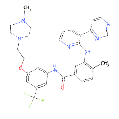 Cc1ccc(C(=O)Nc2cc(OCCN3CCN(C)CC3)cc(C(F)(F)F)c2)cc1Nc1ncccc1-c1ccncn1